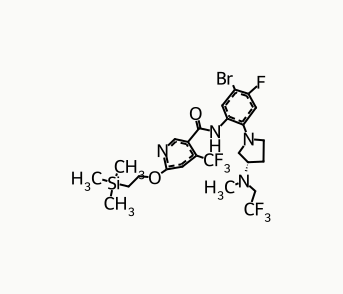 CN(CC(F)(F)F)[C@H]1CCN(c2cc(F)c(Br)cc2NC(=O)c2cnc(OCC[Si](C)(C)C)cc2C(F)(F)F)C1